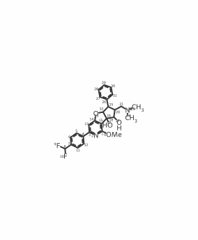 COc1nc(-c2ccc(C(F)F)cc2)cc2c1C1(O)C(O)C(CN(C)C)C(c3ccccc3)C1O2